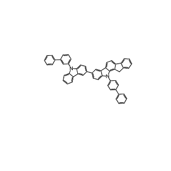 c1ccc(-c2ccc(-n3c4ccc(-c5ccc6c(c5)c5ccccc5n6-c5cccc(-c6ccccc6)c5)cc4c4ccc5c(c43)Cc3ccccc3-5)cc2)cc1